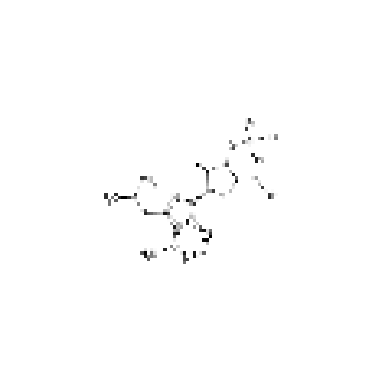 CC(C)[Si](O[C@H]1[C@H](F)[C@H](n2nc(S[C@H](C)C(F)(F)F)c3c(N)ncnc32)O[C@@H]1CO)(C(C)C)C(C)C